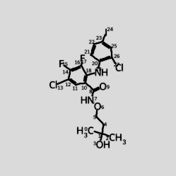 CC(C)(O)CCONC(=O)c1cc(Cl)c(F)c(F)c1Nc1ccc(I)cc1Cl